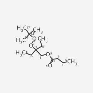 CCCC(=O)OCC(CC)(CC)OOC(C)(C)C